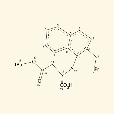 CC(C)Cc1ccc2ccccc2c1S[C@@H](CC(=O)OC(C)(C)C)C(=O)O